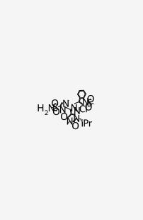 CC(C)Cn1c(=O)n(C)c(=O)c2c(-c3nc(S(N)(=O)=O)cn3C)n(Cc3c(Cl)n(S(C)(=O)=O)c4ccccc34)nc21